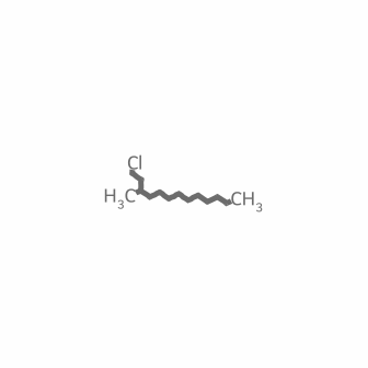 CCCCCCCCCCC(C)CCCl